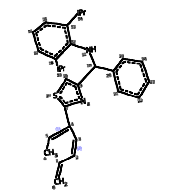 C=C/C=C\C(=C/C)c1nc(C(Nc2c(C(C)C)cccc2C(C)C)c2ccccc2)cs1